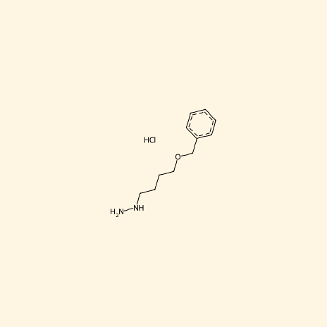 Cl.NNCCCCOCc1ccccc1